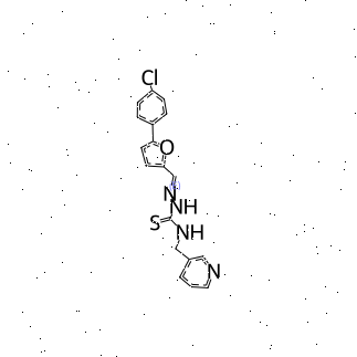 S=C(NCc1cccnc1)N/N=C/c1ccc(-c2ccc(Cl)cc2)o1